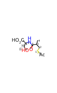 CC(=O)SCC(C)C(=O)N[C@H](C(=O)O)[C@@H](C)O